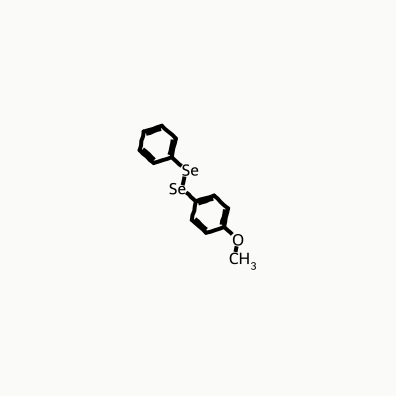 COc1ccc([Se][Se]c2ccccc2)cc1